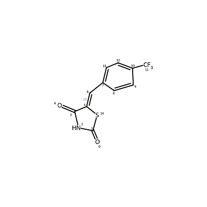 O=C1NC(=O)/C(=C/c2ccc(C(F)(F)F)cc2)S1